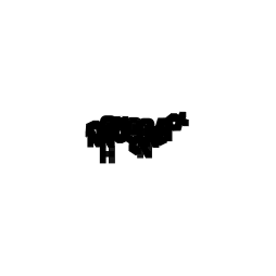 Cn1cc(-c2ccnc(-n3ccn4c5c(cc4c3=O)CC(C)(C)C5)c2CO)cc(Nc2ccccn2)c1=O